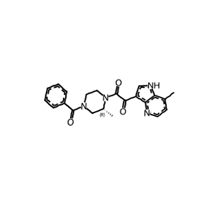 Cc1ccnc2c(C(=O)C(=O)N3CCN(C(=O)c4ccccc4)C[C@H]3C)c[nH]c12